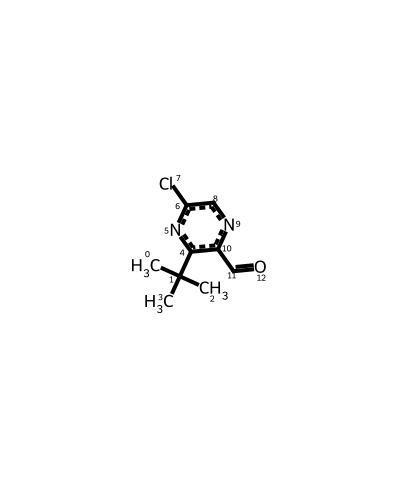 CC(C)(C)c1nc(Cl)cnc1C=O